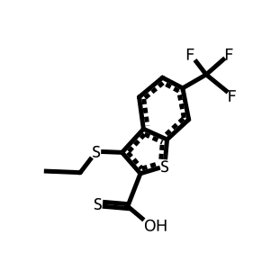 CCSc1c(C(O)=S)sc2cc(C(F)(F)F)ccc12